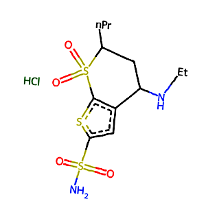 CCCC1CC(NCC)c2cc(S(N)(=O)=O)sc2S1(=O)=O.Cl